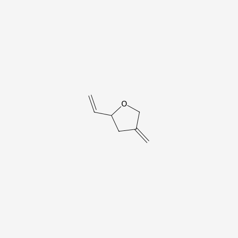 C=CC1CC(=C)CO1